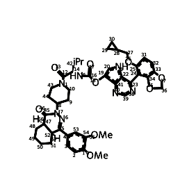 COc1ccc(C2=NN(C3CCN(C(=O)[C@H](NC(=O)Oc4c[nH]c5c(-c6c(OCC7CC7)ccc7c6OCO7)ncnc45)C(C)C)CC3)C(=O)[C@@H]3CCCC[C@H]23)cc1OC